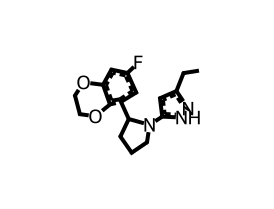 CCc1cc(N2CCCC2c2cc(F)cc3c2OCCO3)[nH]n1